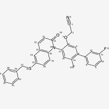 N#CCOc1cc(-c2cccc(F)c2)c(F)cc1-n1c(=O)ccc2cc(SCc3ccccc3)ccc21